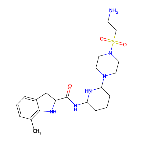 Cc1cccc2c1NC(C(=O)NC1CCCC(N3CCN(S(=O)(=O)CCN)CC3)N1)C2